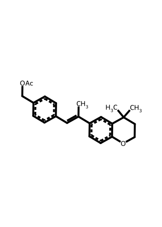 CC(=O)OCc1ccc(/C=C(\C)c2ccc3c(c2)C(C)(C)CCO3)cc1